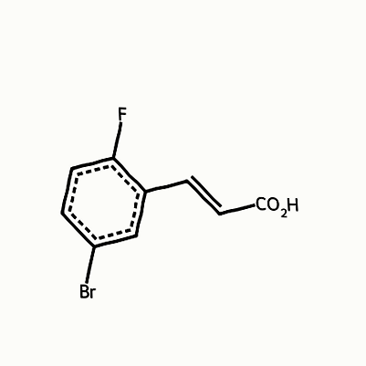 O=C(O)C=Cc1cc(Br)ccc1F